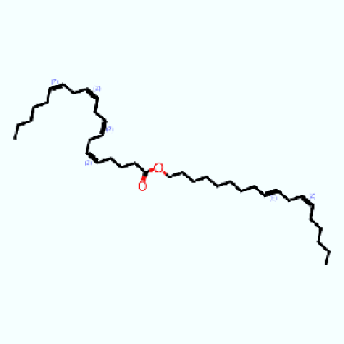 CCCCC/C=C\C/C=C\C/C=C\C/C=C\CCCC(=O)OCCCCCCCC/C=C/C/C=C\CCCCC